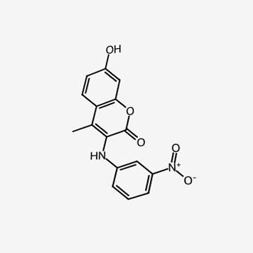 Cc1c(Nc2cccc([N+](=O)[O-])c2)c(=O)oc2cc(O)ccc12